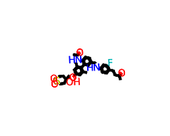 CC(=O)CCc1ccc(NCc2ccc(NC(C)=O)c(-c3c(C)cc(OCC4(O)CCS(=O)(=O)CC4)cc3C)c2)cc1F